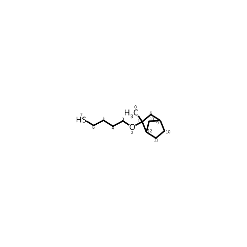 CC1(OCCCCS)CC2CCC1C2